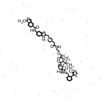 Cc1ncsc1-c1ccccc1CNC(=O)[C@@]1(O)CCN(C(=O)C(NC(=O)COCCNC(=O)CC2CCN(Cc3nc4cc(NC(=O)c5ccc6c(cnn6C)c5)ccc4[nH]3)C2)C(C)(C)C)C1